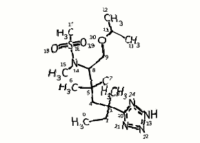 CCC(C)(CC(C)(C)C(COC(C)C)N(C)S(C)(=O)=O)c1nn[nH]n1